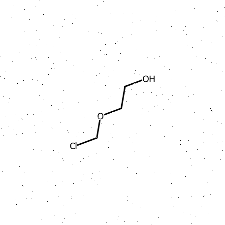 OCCOCCl